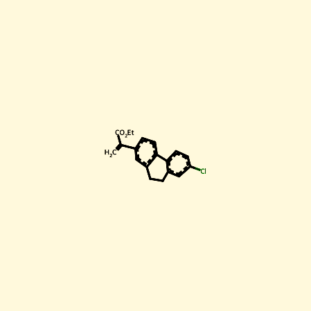 C=C(C(=O)OCC)c1ccc2c(c1)CCc1cc(Cl)ccc1-2